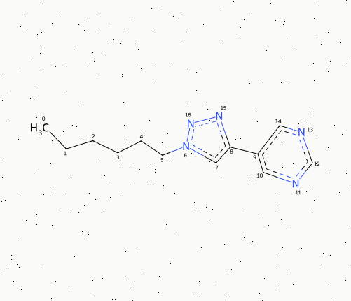 CCCCCCn1cc(-c2cncnc2)nn1